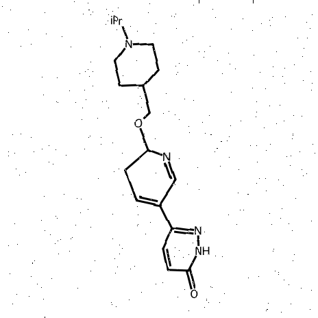 CC(C)N1CCC(COC2CC=C(c3ccc(=O)[nH]n3)C=N2)CC1